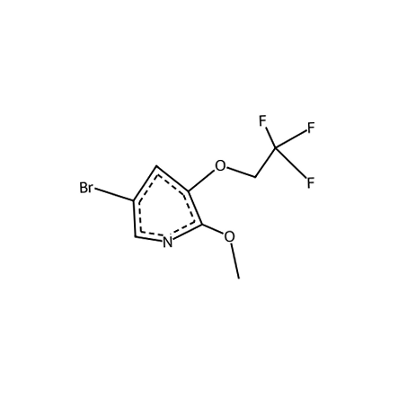 COc1ncc(Br)cc1OCC(F)(F)F